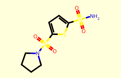 NS(=O)(=O)c1ccc(S(=O)(=O)N2CCCC2)s1